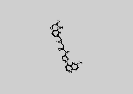 COc1ccc2nccc(N3CCC(N(C)C(=O)CNCc4ccc5c(n4)NC(=O)CO5)C3)c2n1